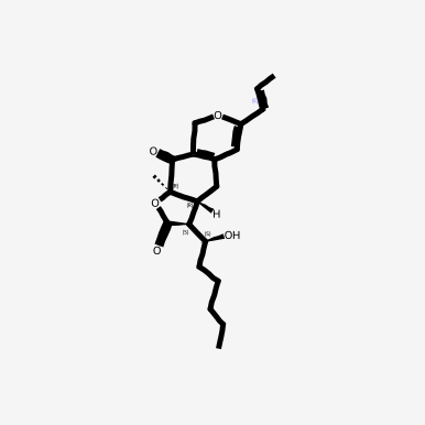 C/C=C/C1=CC2=C(CO1)C(=O)[C@]1(C)OC(=O)[C@H]([C@@H](O)CCCCC)[C@H]1C2